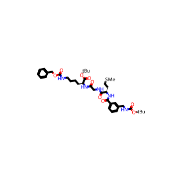 CSCC[C@H](NC(=O)c1cccc(CNC(=O)OC(C)(C)C)c1)C(=O)NCC(=O)N[C@@H](CCCCNC(=O)OCc1ccccc1)C(=O)OC(C)(C)C